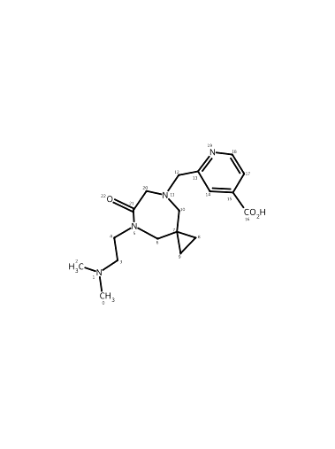 CN(C)CCN1CC2(CC2)CN(Cc2cc(C(=O)O)ccn2)CC1=O